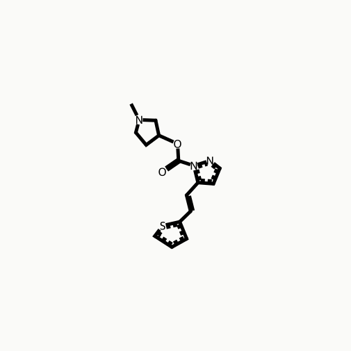 CN1CCC(OC(=O)n2nccc2/C=C/c2cccs2)C1